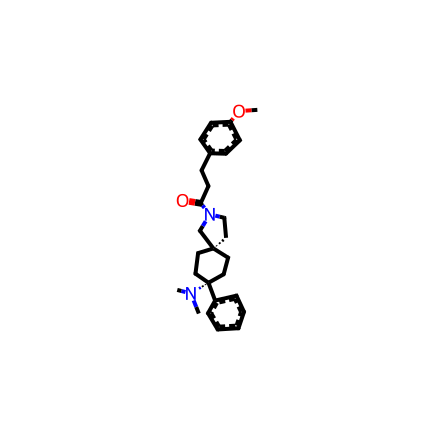 COc1ccc(CCC(=O)N2CC[C@]3(CC[C@@](c4ccccc4)(N(C)C)CC3)C2)cc1